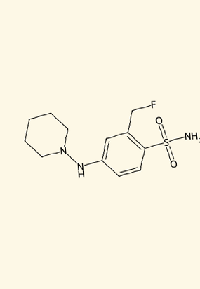 NS(=O)(=O)c1ccc(NN2CCCCC2)cc1CF